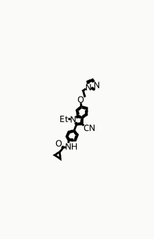 CCn1c(-c2ccc(NC(=O)C3CC3)cc2)c(C#N)c2ccc(OCCn3ccnc3)cc21